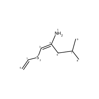 C=CS/C=C(/N)CC(C)C